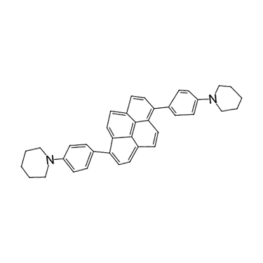 c1cc(N2CCCCC2)ccc1-c1ccc2ccc3c(-c4ccc(N5CCCCC5)cc4)ccc4ccc1c2c43